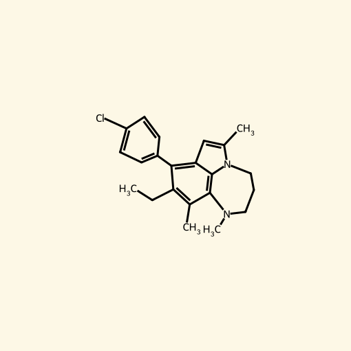 CCc1c(C)c2c3c(cc(C)n3CCCN2C)c1-c1ccc(Cl)cc1